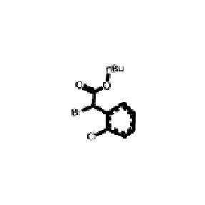 CCCCOC(=O)C(Br)c1ccccc1Cl